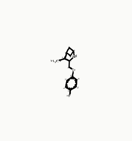 CC1C2CC(C2)NC1COc1ccc(F)cc1